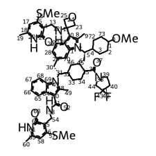 COC1CCC([C@@H](C)n2c(C)c(C3(NCc4c(SC)cc(C)[nH]c4=O)COC3)c3ccc(C[C@H](C4CCC(C(=O)N5CCC(F)(F)C5)CC4)n4c(C)c(C(=O)NCc5c(SC)cc(C)[nH]c5=O)c5ccccc54)cc32)CC1